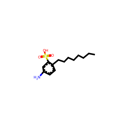 CCCCCCCCc1ccc(N)cc1S(=O)(=O)O